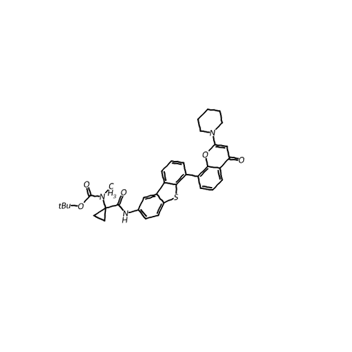 CN(C(=O)OC(C)(C)C)C1(C(=O)Nc2ccc3sc4c(-c5cccc6c(=O)cc(N7CCCCC7)oc56)cccc4c3c2)CC1